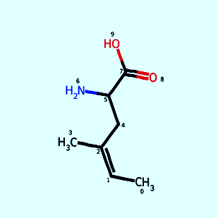 CC=C(C)CC(N)C(=O)O